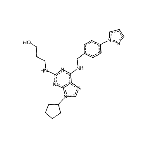 OCCCNc1nc(NCc2ccc(-n3cccn3)cc2)c2ncn(C3CCCC3)c2n1